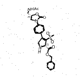 CC(=O)NC[C@H]1CN(c2ccc(C3=C(S(C)(=O)=O)[C@H](C(=O)OCc4ccccc4)NC3)cc2)C(=O)O1